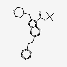 CC(C)(C)OC(=O)n1c(CN2CCOCC2)cc2cc(OCc3ccccc3)cnc21